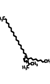 CCCCCCCCCCCCCCCCCCN1C=CN(C(C)C)C1CCCCCCC